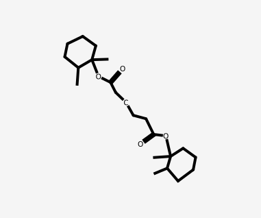 CC1CCCCC1(C)OC(=O)CCCCC(=O)OC1(C)CCCCC1C